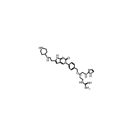 N=C(N)NCC[C@H](CNc1ncc[nH]1)OCc1ccc(-n2cc3cc(CCNC4CCNCC4)[nH]c3nc2=O)cc1